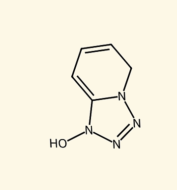 ON1N=NN2CC=CC=C12